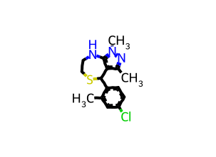 Cc1cc(Cl)ccc1C1SCCNc2c1c(C)nn2C